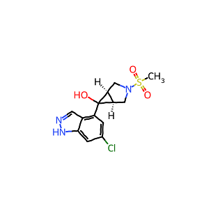 CS(=O)(=O)N1C[C@@H]2[C@H](C1)C2(O)c1cc(Cl)cc2[nH]ncc12